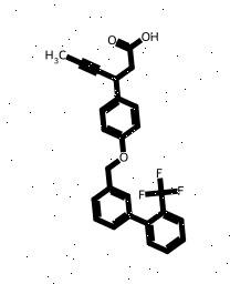 CC#CC(CC(=O)O)c1ccc(OCc2cccc(-c3ccccc3C(F)(F)F)c2)cc1